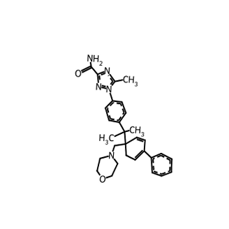 Cc1nc(C(N)=O)nn1-c1ccc(C(C)(C)C2(CN3CCOCC3)C=CC(c3ccccc3)=CC2)cc1